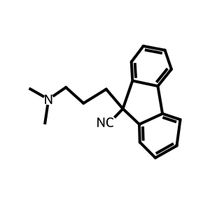 CN(C)CCCC1(C#N)c2ccccc2-c2ccccc21